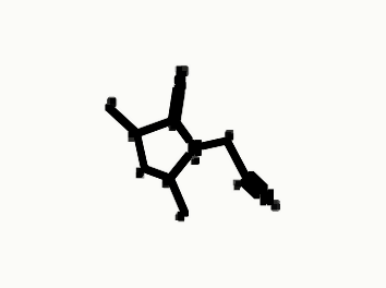 CC1CC(C)N(CC#N)C1=S